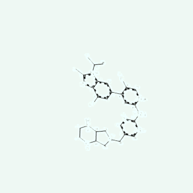 Cc1nc2c(F)cc(-c3cc(Nc4ncc(CN5CC6NCCOC6C5)cn4)ncc3F)cc2n1C(C)C